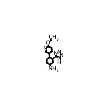 CCOc1ccc(-c2ccc(N)cc2-c2nnn[nH]2)cn1